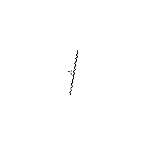 CCCCCCCCCCCCCCCCCCCCCC.CN(C)C